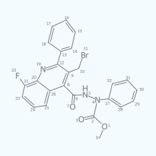 COC(=O)N(NC(=O)c1c(CBr)c(-c2ccccc2)nc2c(F)cccc12)c1ccccc1